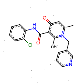 CCCc1c(C(=O)Nc2ccccc2Cl)c(=O)cc(C)n1Cc1cccnc1